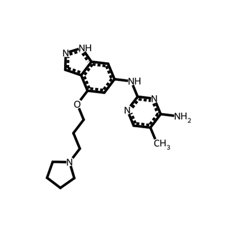 Cc1cnc(Nc2cc(OCCCN3CCCC3)c3cn[nH]c3c2)nc1N